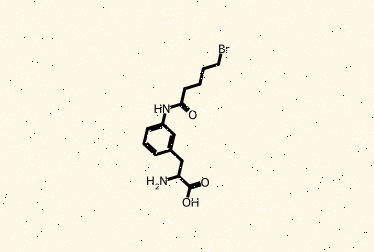 NC(Cc1cccc(NC(=O)CCCCBr)c1)C(=O)O